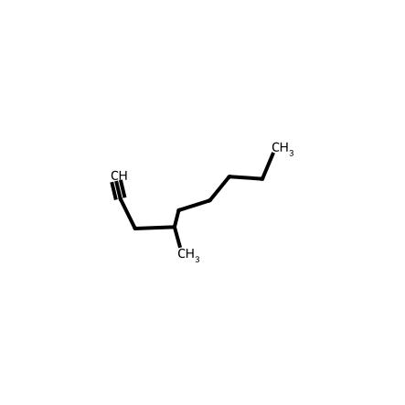 C#CCC(C)CCCCC